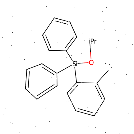 Cc1ccccc1[Si](OC(C)C)(c1ccccc1)c1ccccc1